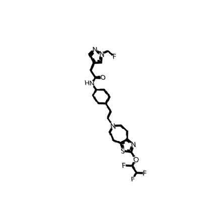 O=C(Cc1cnn(CF)c1)NC1CCC(CCN2CCc3nc(OC(F)C(F)F)sc3CC2)CC1